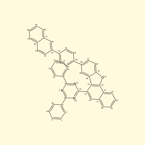 c1ccc(-c2nc(-c3ccccc3)nc(-c3cc4ccccc4c4oc5ccc(-c6ccc(-c7ccc8ccccc8c7)cc6)cc5c34)n2)cc1